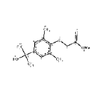 COC(=O)CSc1c(C)cc(C(O)(C(F)(F)F)C(F)(F)F)cc1C